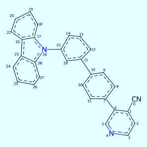 N#Cc1ccncc1-c1ccc(-c2cccc(-n3c4ccccc4c4ccccc43)c2)cc1